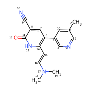 Cc1cncc(-c2cc(C#N)c(=O)[nH]c2C=CN(C)C)c1